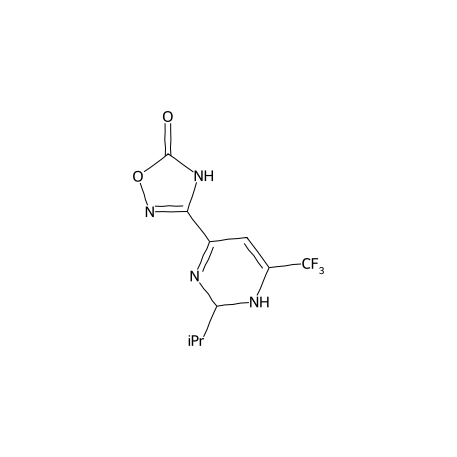 CC(C)C1N=C(c2noc(=O)[nH]2)C=C(C(F)(F)F)N1